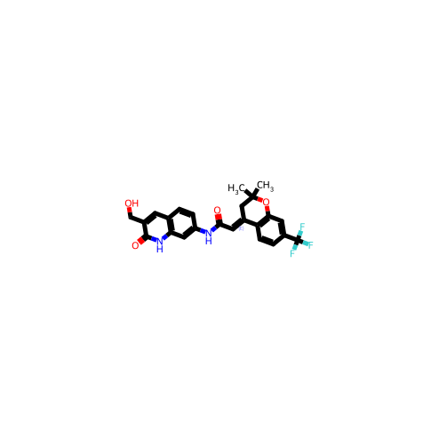 CC1(C)C/C(=C\C(=O)Nc2ccc3cc(CO)c(=O)[nH]c3c2)c2ccc(C(F)(F)F)cc2O1